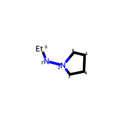 CC[N]N1CCCC1